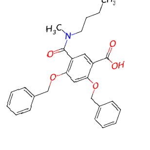 CCCCN(C)C(=O)c1cc(C(=O)O)c(OCc2ccccc2)cc1OCc1ccccc1